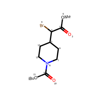 COC(=O)C(Br)C1CCN(C(=O)OCC(C)C)CC1